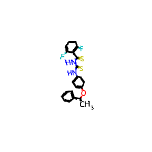 CC(Oc1ccc(NC(=S)NC(=S)c2c(F)cccc2F)cc1)c1ccccc1